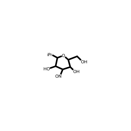 CC(C)C1OC(CO)C(O)C(N=O)C1O